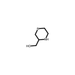 OCC1C[N]CCN1